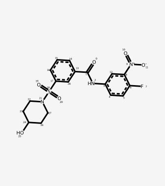 O=C(Nc1ccc(F)c([N+](=O)[O-])c1)c1cccc(S(=O)(=O)N2CCC(O)CC2)c1